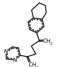 C=C(CCC(=C)c1ccncn1)c1ccc2c(c1)CCCC2